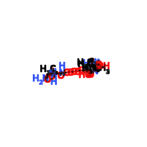 CCCn1/c(=N/C(=O)c2cccc(C(N)=O)c2)[nH]c2cc(/C=C/C(=O)NCCCOCCOCCOCCOCCOCCCNCc3ccc(C(=C\C=C4\N(CCCCS(=O)(=O)O)c5ccccc5C4(C)C)/C=C/C4=[N+](CCCCS(=O)(=O)O)c5ccccc5C4(C)C)cc3)ccc21